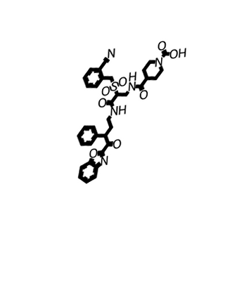 N#Cc1ccccc1CS(=O)(=O)C(CNC(=O)C1CCN(C(=O)O)CC1)C(=O)NCCC(C(=O)c1nc2ccccc2o1)c1ccccc1